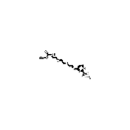 CC(C)(C)OC(=O)NCCOCCOCCOc1ccnc(S(C)(=O)=O)n1